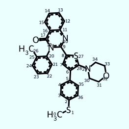 CSc1ccc(-c2cc(-c3nc4ccccc4c(=O)n3-c3ccccc3C)sc2N2CCOCC2)cc1